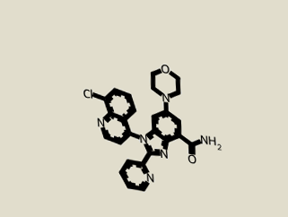 NC(=O)c1cc(N2CCOCC2)cc2c1nc(-c1ccccn1)n2-c1ccnc2c(Cl)cccc12